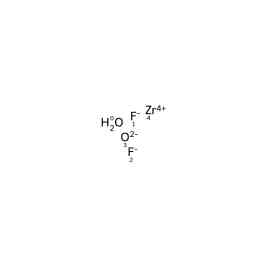 O.[F-].[F-].[O-2].[Zr+4]